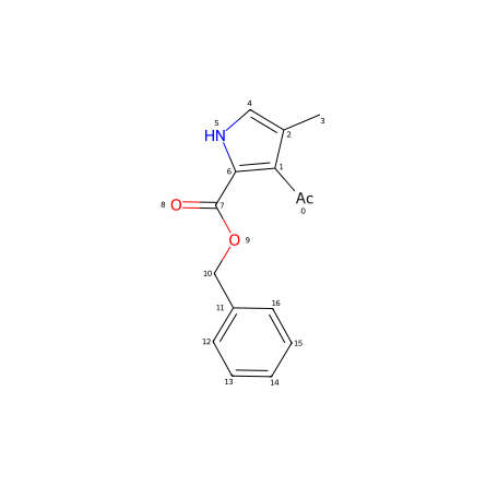 CC(=O)c1c(C)c[nH]c1C(=O)OCc1ccccc1